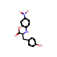 O=C(O)C(Cc1ccc(O)cc1)Nc1ccc([N+](=O)[O-])cc1